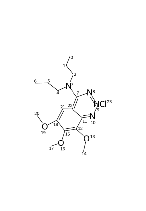 CCCN(CCC)c1ncnc2c(OC)c(OC)c(OC)cc12.Cl